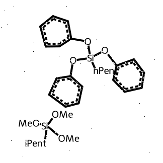 CCCC(C)[Si](OC)(OC)OC.CCCCC[Si](Oc1ccccc1)(Oc1ccccc1)Oc1ccccc1